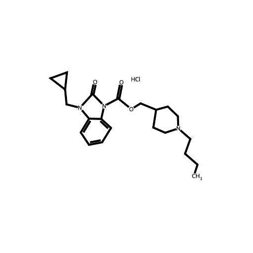 CCCCN1CCC(COC(=O)n2c(=O)n(CC3CC3)c3ccccc32)CC1.Cl